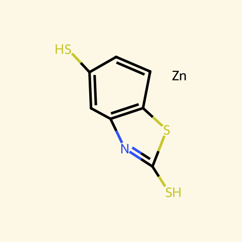 Sc1ccc2sc(S)nc2c1.[Zn]